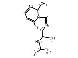 CC1=CC=NC(C)N1/C=N\CC(O)NC(C)C